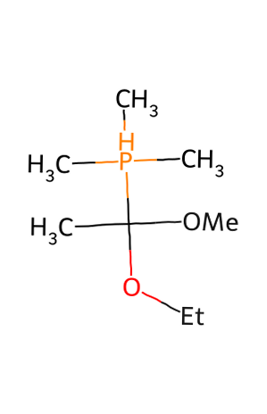 CCOC(C)(OC)[PH](C)(C)C